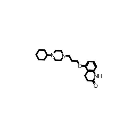 O=C1CCc2c(cccc2OCCCN2CCN(C3CCCCC3)CC2)N1